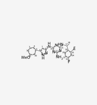 COc1cccc(-c2cc(Nc3nc(N)nc(NC(C)c4ccc(F)cc4F)n3)n[nH]2)c1